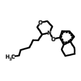 CCCCCCC1COCCN1Oc1cccc2c1CCCC2